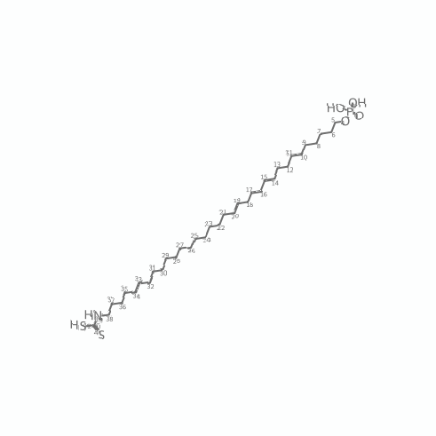 O=P(O)(O)OCCCCCCCCCCCCCCCCCCCCCCCCCCCCCCCCCCNC(=S)S